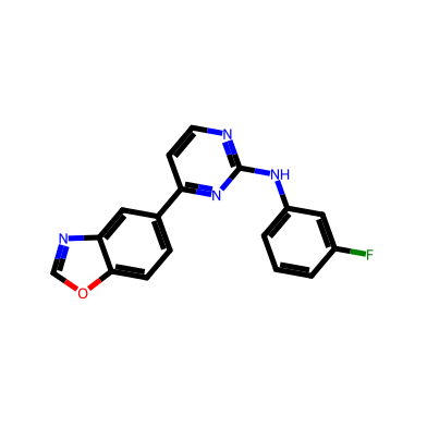 Fc1cccc(Nc2nccc(-c3ccc4ocnc4c3)n2)c1